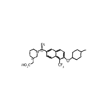 CC[C@@H](c1ccc2c(C(F)(F)F)c(OC3CCC(C)CC3)ccc2c1)N1CCC[C@H](CC(=O)O)C1